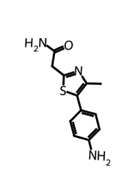 Cc1nc(CC(N)=O)sc1-c1ccc(N)cc1